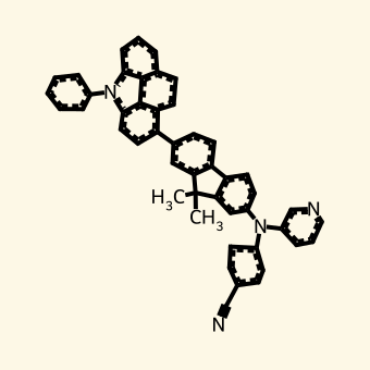 CC1(C)c2cc(-c3ccc4c5c3ccc3cccc(c35)n4-c3ccccc3)ccc2-c2ccc(N(c3ccc(C#N)cc3)c3cccnc3)cc21